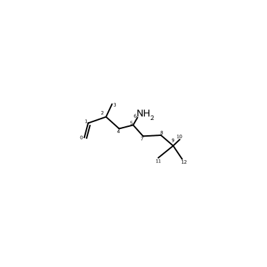 C=CC(C)CC(N)CCC(C)(C)C